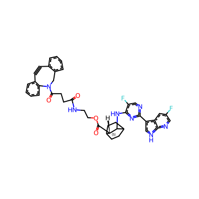 O=C(CCC(=O)N1Cc2ccccc2C#Cc2ccccc21)NCCOC(=O)[C@H]1C2CCC(CC2)C1Nc1nc(-c2c[nH]c3ncc(F)cc23)ncc1F